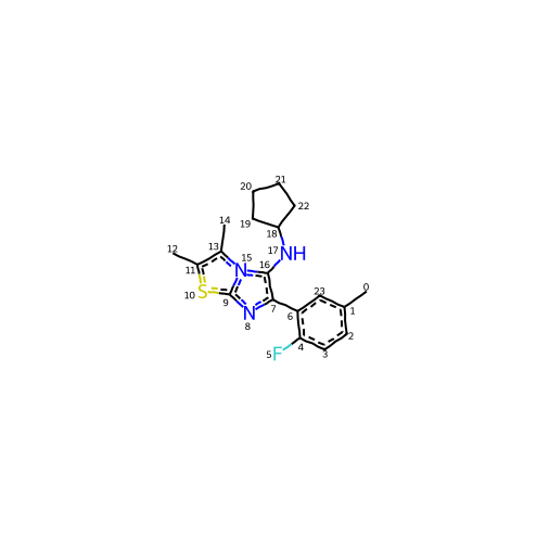 Cc1ccc(F)c(-c2nc3sc(C)c(C)n3c2NC2CCCC2)c1